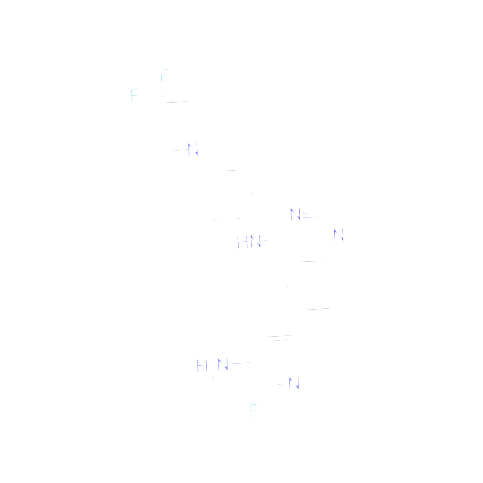 Nc1cc(-c2ccc3ncnc(NC4CCC(N5CCC(F)(F)CC5)CC4)c3c2)cnc1F